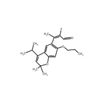 CCCOc1cc2c(cc1/C(C)=C(/F)C=O)C(C(C)C)=CC(C)(C)O2